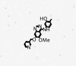 COc1cc2c(Nc3ccc(C)c(O)c3)ncnc2cc1OCc1cccnc1